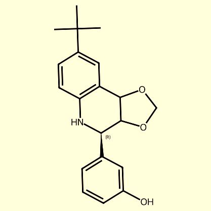 CC(C)(C)c1ccc2c(c1)C1OCOC1[C@@H](c1cccc(O)c1)N2